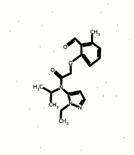 CCn1nccc1N(C(=O)COc1cccc(C)c1C=O)C(C)C